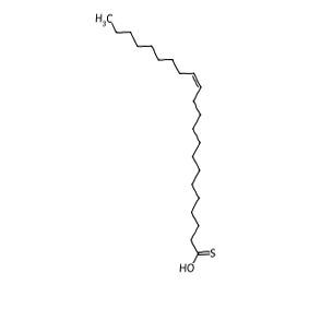 CCCCCCCC/C=C\CCCCCCCCCCCC(O)=S